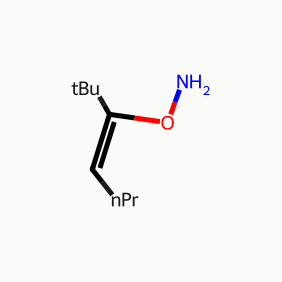 CCC/C=C(\ON)C(C)(C)C